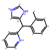 Cc1ccccc1C(c1ccccn1)c1cnc[nH]1